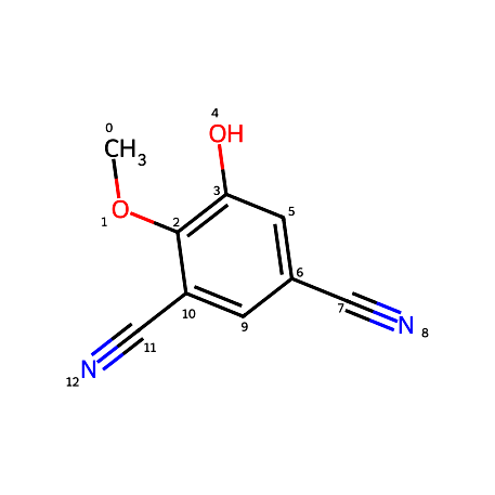 COc1c(O)cc(C#N)cc1C#N